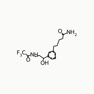 NC(=O)CCCCc1cccc(C(O)CCNC(=O)C(F)(F)F)c1